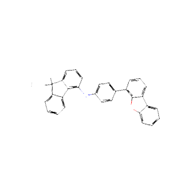 CC1(C)c2ccccc2-c2c(Nc3ccc(-c4cccc5c4oc4ccccc45)cc3)cccc21